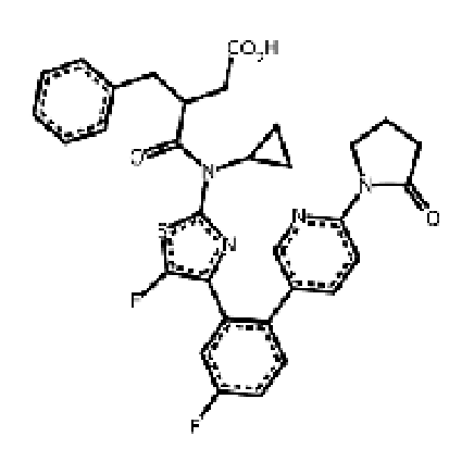 O=C(O)CC(Cc1ccccc1)C(=O)N(c1nc(-c2cc(F)ccc2-c2ccc(N3CCCC3=O)nc2)c(F)s1)C1CC1